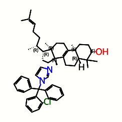 CC(C)=CCC[C@@H](C)[C@H]1CC[C@@]2(C)C3=C(CC[C@]12C)[C@@]1(C)CC[C@H](O)C(C)(C)[C@@H]1CC3.Clc1ccccc1C(c1ccccc1)(c1ccccc1)n1ccnc1